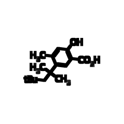 Cc1cc(O)c(C(=O)O)cc1C(C)(C)CC(C)(C)C